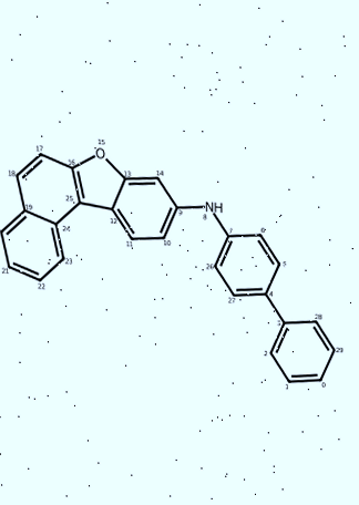 c1ccc(-c2ccc(Nc3ccc4c(c3)oc3ccc5ccccc5c34)cc2)cc1